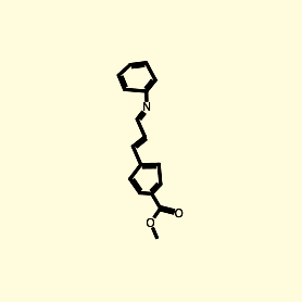 COC(=O)c1ccc(C=CC=Nc2ccccc2)cc1